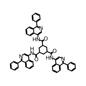 O=C(Nc1cnc(-c2ccccc2)c2ccccc12)C1CC(C(=O)Nc2cnc(-c3ccccc3)c3ccccc23)CC(C(=O)Nc2cnc(-c3ccccc3)c3ccccc23)C1